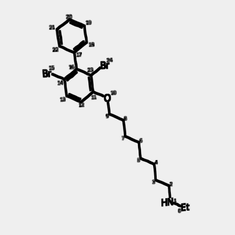 CCNCCCCCCCCOc1ccc(Br)c(-c2ccccc2)c1Br